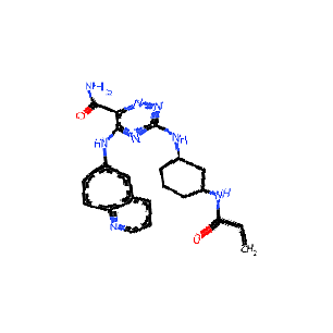 C=CC(=O)NC1CCC[C@@H](Nc2nnc(C(N)=O)c(Nc3ccc4ncccc4c3)n2)C1